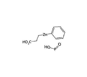 O=C(O)C[CH2][Zn][c]1ccccc1.O=PO